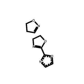 C1=NOCC1.c1coc(C2=NCCO2)n1